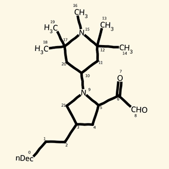 CCCCCCCCCCCCC1CC(C(=O)C=O)N(C2CC(C)(C)N(C)C(C)(C)C2)C1